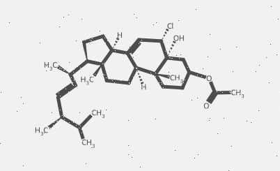 CC(=O)OC1CC[C@]2(C)[C@H]3CC[C@]4(C)[C@@H]([C@H](C)/C=C/[C@H](C)C(C)C)CC[C@H]4C3=C[C@H](Cl)[C@@]2(O)C1